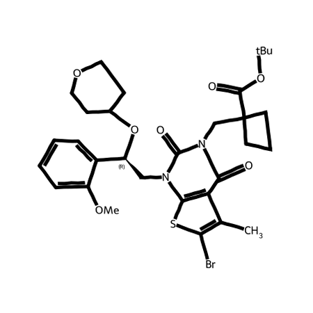 COc1ccccc1[C@H](Cn1c(=O)n(CC2(C(=O)OC(C)(C)C)CCC2)c(=O)c2c(C)c(Br)sc21)OC1CCOCC1